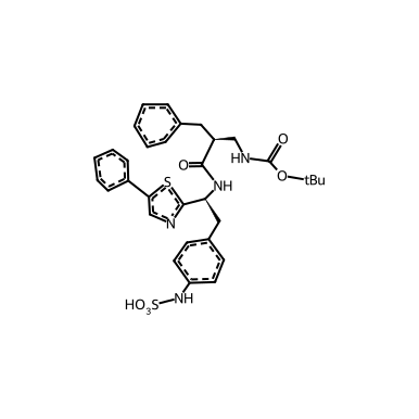 CC(C)(C)OC(=O)NC[C@H](Cc1ccccc1)C(=O)N[C@@H](Cc1ccc(NS(=O)(=O)O)cc1)c1ncc(-c2ccccc2)s1